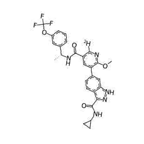 [2H]c1nc(OC)c(-c2ccc3c(C(=O)NC4CC4)n[nH]c3c2)cc1C(=O)N[C@H](C)c1cccc(OC(F)(F)F)c1